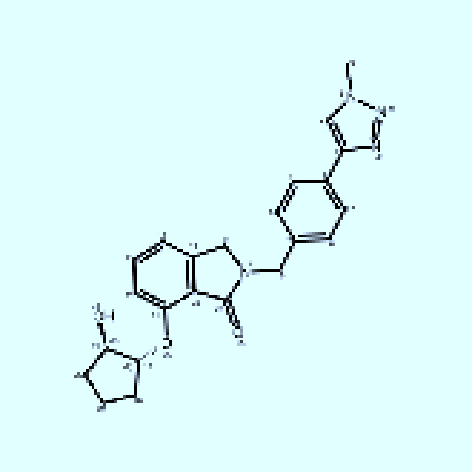 Cn1cc(-c2ccc(CN3Cc4cccc(O[C@@H]5CCC[C@H]5O)c4C3=O)cc2)nn1